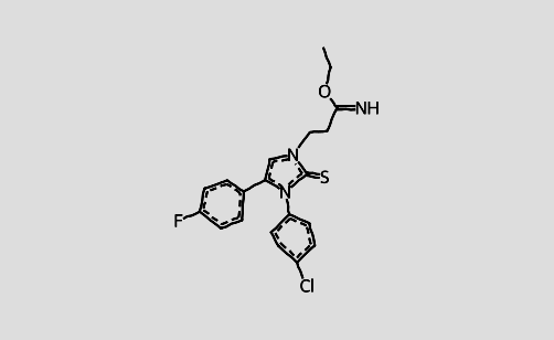 CCOC(=N)CCn1cc(-c2ccc(F)cc2)n(-c2ccc(Cl)cc2)c1=S